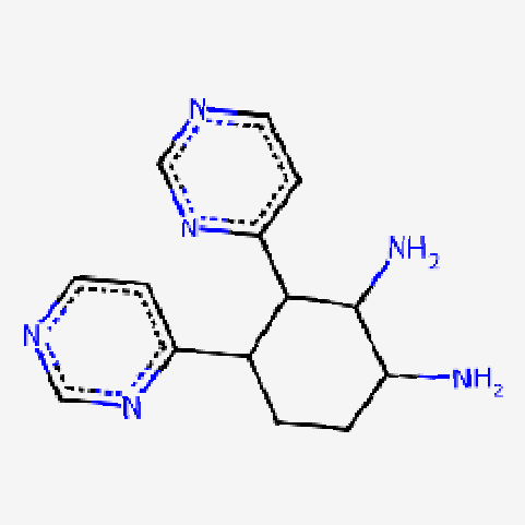 NC1CCC(c2ccncn2)C(c2ccncn2)C1N